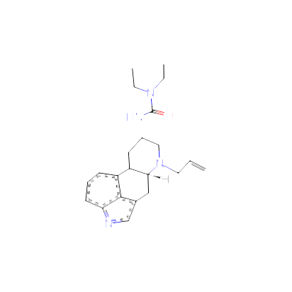 C=CCN1C[C@@H](NC(=O)N(CC)CC)CC2c3cccc4[nH]cc(c34)C[C@H]21